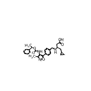 Cc1noc(-c2ccc(CNC(CC(=O)O)CC3CC3)cc2)c1NC(=O)OC(C)c1ccccc1